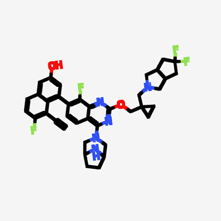 C#Cc1c(F)ccc2cc(O)cc(-c3ccc4c(N5CC6CCC(C5)N6)nc(OCC5(CN6CC7CC(F)(F)CC7C6)CC5)nc4c3F)c12